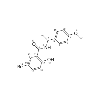 COc1ccc(C(C)NC(=O)c2nc(Br)ccc2O)cc1